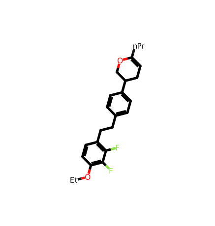 CCCC1=CCC(c2ccc(CCc3ccc(OCC)c(F)c3F)cc2)CO1